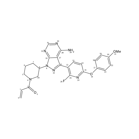 C=CC(=O)N1CCCC(n2nc(-c3ccc(Oc4ccc(OC)cc4)nc3F)c3c(N)ncnc32)C1